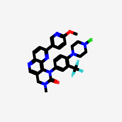 COc1ccc(-c2ccc3ncc4c(c3n2)N(c2ccc(N3CCN(Cl)CC3)c(C(F)(F)F)c2)C(=O)N(C)C4)cn1